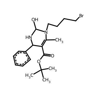 CC1=C(C(=O)OC(C)(C)C)C(c2ccccc2)NC(O)N1CCCCBr